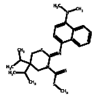 CSC(=S)N1CC(C(C)C)(C(C)C)CSC1=Nc1ccc(N(C)C)c2ccccc12